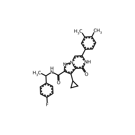 Cc1ccc(-c2cn3nc(C(=O)NC(C)c4ccc(F)cc4)c(C4CC4)c3c(=O)[nH]2)cc1C